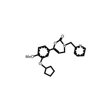 COc1ccc(C2=CCN(Cc3ccccn3)C(=O)O2)cc1OC1CCCC1